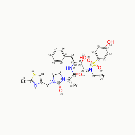 CCc1nc(CN2CCN([C@H](C(=O)N[C@@H](Cc3ccccc3)[C@@H](O)CN(CC(C)C)S(=O)(=O)c3ccc(O)cc3)C(C)C)C2=O)cs1